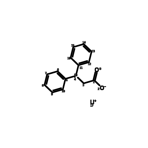 O=C([O-])CP(c1ccccc1)c1ccccc1.[Li+]